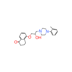 Cc1ccccc1N1CCN(CC(O)COc2cccc3c2CCCC3=O)CC1